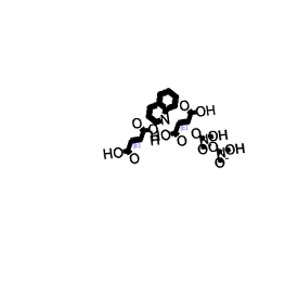 O=C(O)/C=C/C(=O)O.O=C(O)/C=C/C(=O)O.O=[N+]([O-])O.O=[N+]([O-])O.c1ccc2ncccc2c1